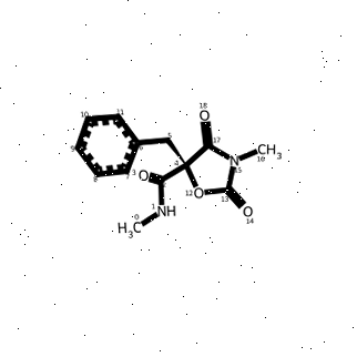 CNC(=O)[C@@]1(Cc2ccccc2)OC(=O)N(C)C1=O